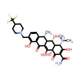 C[C@H]1c2ccc(CN3CCC(C(F)(F)F)CC3)c(O)c2C(=O)C2=C(O)[C@]3(O)C(=O)C(C(N)=O)=C(O)[C@@H](N(C)C)C3[C@@H](O)C21